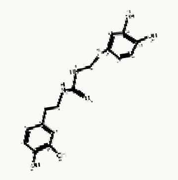 O=C(NCCc1ccc(O)c(O)c1)NCCc1ccc(O)c(O)c1